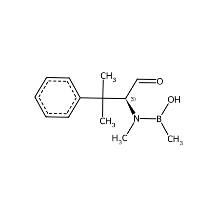 CB(O)N(C)[C@H](C=O)C(C)(C)c1ccccc1